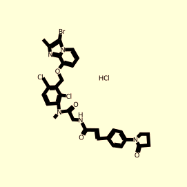 Cc1nc2c(OCc3c(Cl)ccc(N(C)C(=O)CNC(=O)C=Cc4ccc(N5CCCC5=O)cc4)c3Cl)cccn2c1Br.Cl